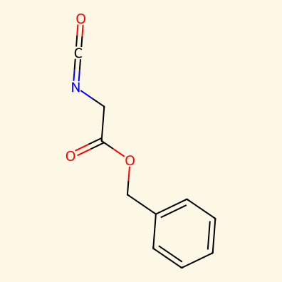 O=C=NCC(=O)OCc1ccccc1